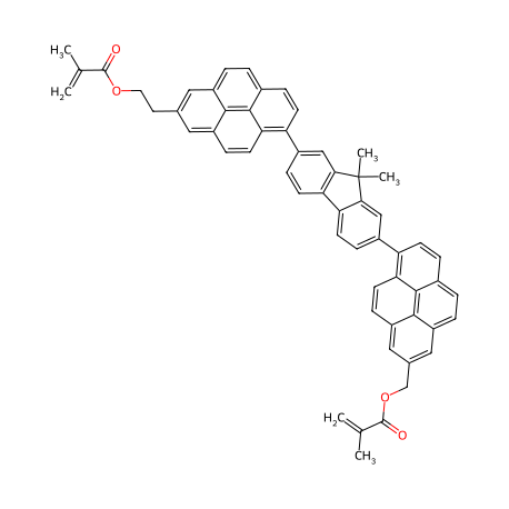 C=C(C)C(=O)OCCc1cc2ccc3ccc(-c4ccc5c(c4)C(C)(C)c4cc(-c6ccc7ccc8cc(COC(=O)C(=C)C)cc9ccc6c7c89)ccc4-5)c4ccc(c1)c2c34